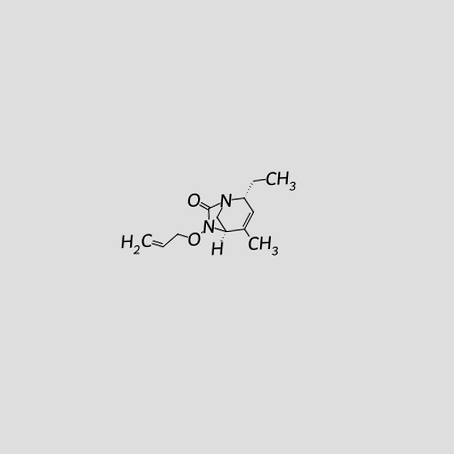 C=CCON1C(=O)N2C[C@H]1C(C)=C[C@H]2CC